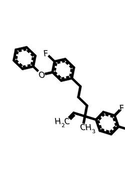 C=CC(C)(CCCc1ccc(F)c(Oc2ccccc2)c1)c1ccc(Cl)c(F)c1